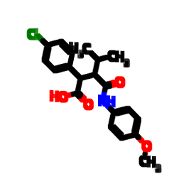 COc1ccc(NC(=O)C(C(C)C)C(C(=O)O)c2ccc(Cl)cc2)cc1